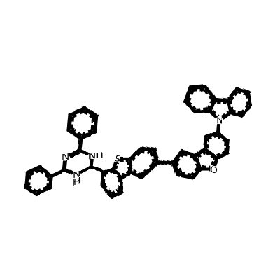 c1ccc(C2=NC(c3ccccc3)NC(c3cccc4c3sc3ccc(-c5ccc6oc7ccc(-n8c9ccccc9c9ccccc98)cc7c6c5)cc34)N2)cc1